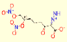 N=[N+]=C(C(=O)[O-])C(=O)CCC[C@H](CO[N+](=O)[O-])O[N+](=O)[O-]